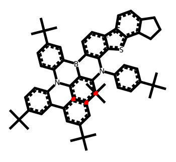 CC(C)(C)c1ccc(N2c3cccc4c3B(c3cc(C(C)(C)C)ccc3N4c3ccc(C(C)(C)C)cc3-c3cc(C(C)(C)C)cc(C(C)(C)C)c3)c3ccc4c(sc5c6c(ccc54)CCC6)c32)cc1